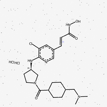 CN(C)CC1CCC(C(=O)N2CC[C@@H](Nc3ncc(/C=C/C(=O)NO)cc3Cl)C2)CC1.Cl.Cl